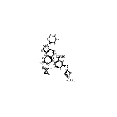 COc1cc(OC2CN(C(=O)O)C2)ccc1[C@@H]1c2ccc3c(cnn3C3CCCCO3)c2C[C@@H](C)N1CC1(F)CC1